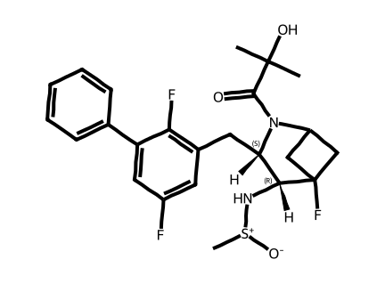 C[S+]([O-])N[C@@H]1[C@H](Cc2cc(F)cc(-c3ccccc3)c2F)N(C(=O)C(C)(C)O)C2CC1(F)C2